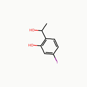 CC(O)c1ccc(I)cc1O